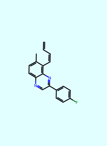 C=C/C=C\c1c(C)ccc2ncc(-c3ccc(F)cc3)nc12